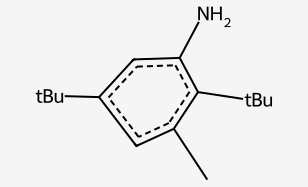 Cc1cc(C(C)(C)C)cc(N)c1C(C)(C)C